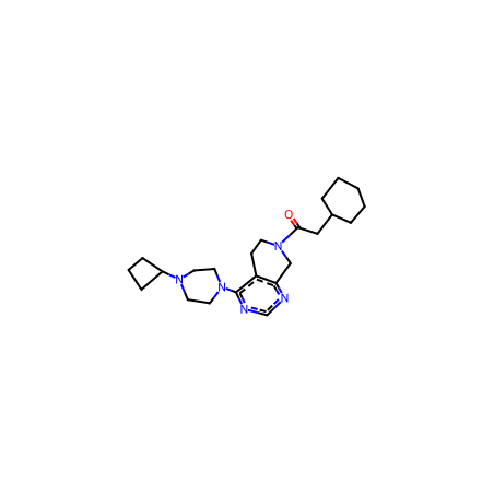 O=C(CC1CCCCC1)N1CCc2c(ncnc2N2CCN(C3CCC3)CC2)C1